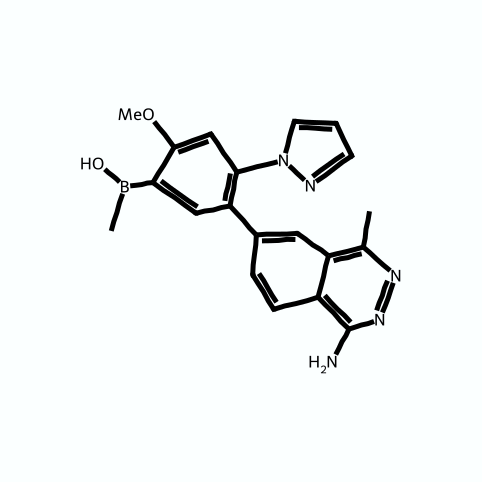 COc1cc(-n2cccn2)c(-c2ccc3c(N)nnc(C)c3c2)cc1B(C)O